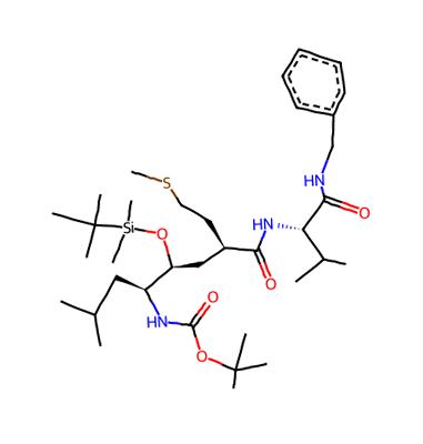 CSCC[C@H](C[C@H](O[Si](C)(C)C(C)(C)C)[C@H](CC(C)C)NC(=O)OC(C)(C)C)C(=O)N[C@H](C(=O)NCc1ccccc1)C(C)C